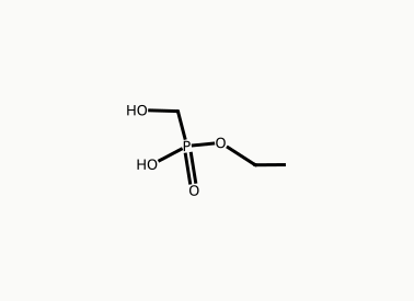 CCOP(=O)(O)CO